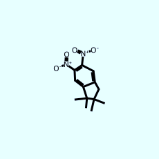 CC1(C)Cc2cc([N+](=O)[O-])c([N+](=O)[O-])cc2C1(C)C